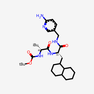 CCC(C)[C@@H](NC(=O)OC(C)(C)C)C(=O)N[C@@H](CC1CCCC2CCCCC21)C(=O)NCc1ccc(N)nc1